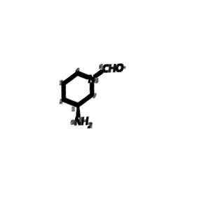 N[C@H]1CCCN([C]=O)C1